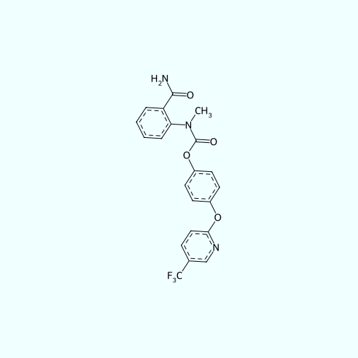 CN(C(=O)Oc1ccc(Oc2ccc(C(F)(F)F)cn2)cc1)c1ccccc1C(N)=O